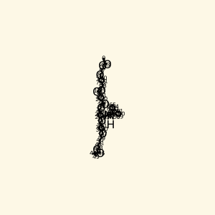 C#CC(=O)OCCCOc1ccc(CCOC(=O)C2CCC(C(=O)COCc3ccc(OCc4ccc(OCCCCCCOC(=O)C(=C)C)cc4)c(/C=N/NC4c5ccccc5-c5ccccc54)c3)CC2)cc1